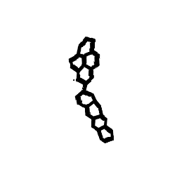 [c]1c(-c2ccc3cc4cc5ccccc5cc4cc3c2)cc2ccc3cccc4ccc1c2c43